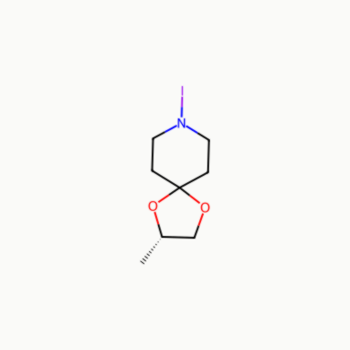 C[C@H]1COC2(CCN(I)CC2)O1